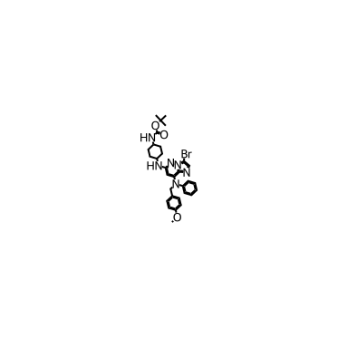 COc1ccc(CN(c2ccccc2)c2cc(NC3CCC(NC(=O)OC(C)(C)C)CC3)nn3c(Br)cnc23)cc1